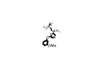 COc1cccc(Oc2cncc(N(C)CCN(C)C(C)=O)n2)c1